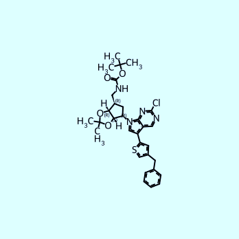 CC(C)(C)OC(=O)NC[C@H]1C[C@@H](n2cc(-c3cc(Cc4ccccc4)cs3)c3cnc(Cl)nc32)[C@@H]2OC(C)(C)O[C@H]12